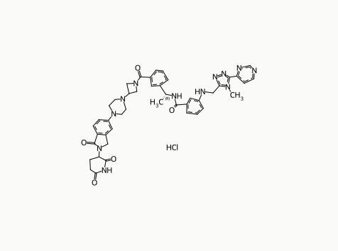 C[C@@H](NC(=O)c1cccc(NCc2nnc(-c3ccncn3)n2C)c1)c1cccc(C(=O)N2CC(N3CCN(c4ccc5c(c4)CN(C4CCC(=O)NC4=O)C5=O)CC3)C2)c1.Cl